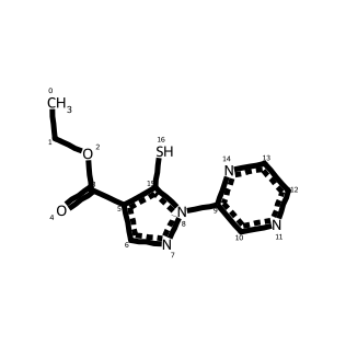 CCOC(=O)c1cnn(-c2cnccn2)c1S